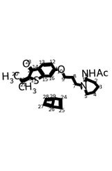 CC(=O)NC1CCCCN1CCCOc1ccc2c(c1)SC(=C(C)C)C2=O.c1cc2ccc1-2